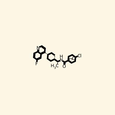 C[C@@H](NC(=O)C12CCC(Cl)(CC1)CC2)[C@H]1CC[C@@H](c2ccnc3ccc(F)cc32)CC1